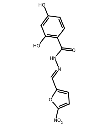 O=C(N/N=C/c1ccc([N+](=O)[O-])o1)c1ccc(O)cc1O